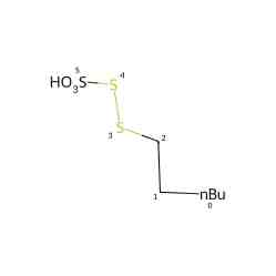 CCCCCCSSS(=O)(=O)O